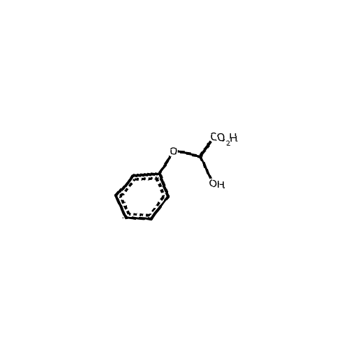 O=C(O)C(O)Oc1cc[c]cc1